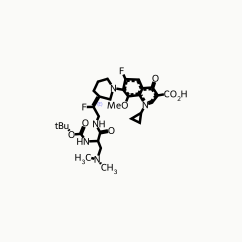 COc1c(N2CCC/C(=C(\F)CNC(=O)C(CN(C)C)NC(=O)OC(C)(C)C)C2)c(F)cc2c(=O)c(C(=O)O)cn(C3CC3)c12